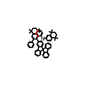 CC1(C)CCC(C)(C)c2cc(N(c3ccccc3)c3cc4c(cc3-c3cc5c(cc3-c3ccccc3)C(C)(C)CCC5(C)C)-c3ccccc3C43c4ccccc4-c4ccccc43)ccc21